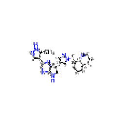 Cc1[nH]ncc1-c1cnc2[nH]cc(-c3cnn(Cc4cccc5cccnc45)c3)c2n1